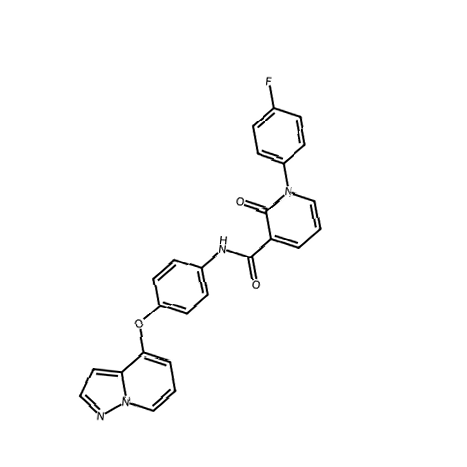 O=C(Nc1ccc(Oc2cccn3nccc23)cc1)c1cccn(-c2ccc(F)cc2)c1=O